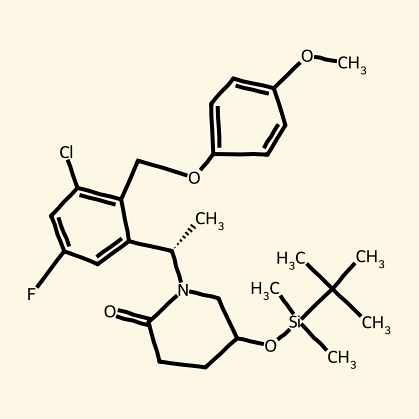 COc1ccc(OCc2c(Cl)cc(F)cc2[C@H](C)N2CC(O[Si](C)(C)C(C)(C)C)CCC2=O)cc1